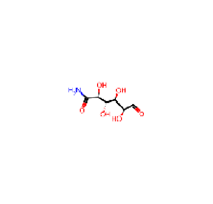 NC(=O)[C@@H](O)[C@@H](O)[C@@H](O)[C@H](O)C=O